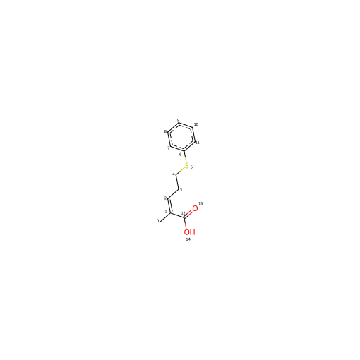 CC(=CCCSc1ccccc1)C(=O)O